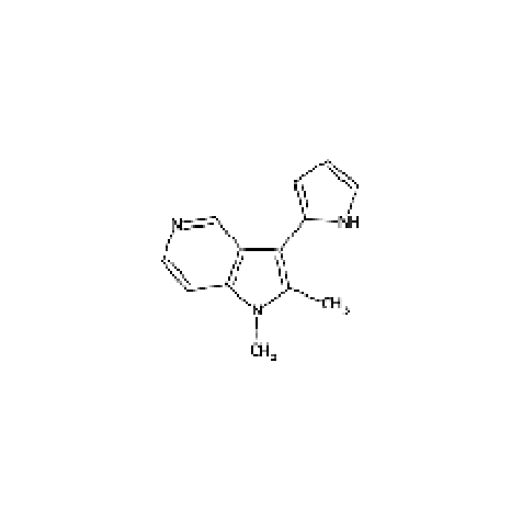 Cc1c(-c2ccc[nH]2)c2cnccc2n1C